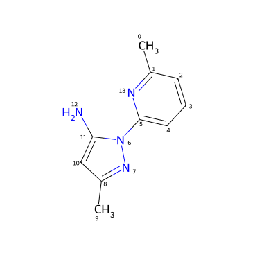 Cc1cccc(-n2nc(C)cc2N)n1